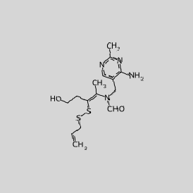 C=CCSS/C(CCO)=C(/C)N(C=O)Cc1cnc(C)nc1N